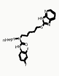 CCCCCCCN(CCCCCSc1nc2cccnc2[nH]1)C(=O)Nc1ccc(F)cc1F